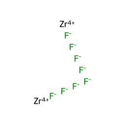 [F-].[F-].[F-].[F-].[F-].[F-].[F-].[F-].[Zr+4].[Zr+4]